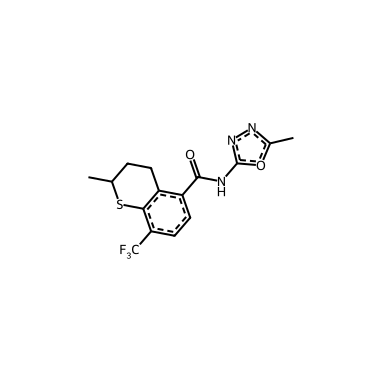 Cc1nnc(NC(=O)c2ccc(C(F)(F)F)c3c2CCC(C)S3)o1